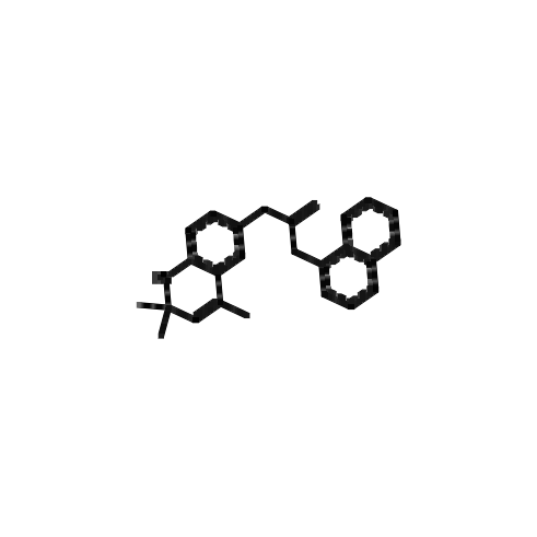 C=C(Cc1ccc2c(c1)C(C)=CC(C)(C)N2)Cc1cccc2ccccc12